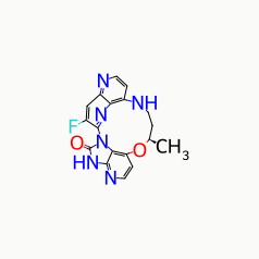 C[C@@H]1CCNc2ccnc3cc(F)c(nc23)-n2c(=O)[nH]c3nccc(c32)O1